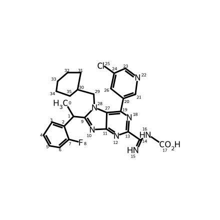 CC(c1ccccc1F)c1nc2nc(C(=N)NC(=O)O)nc(-c3cncc(Cl)c3)c2n1CC1CCCCC1